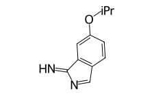 CC(C)Oc1ccc2c(c1)C(=N)N=C2